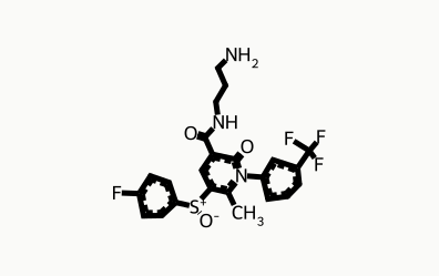 Cc1c([S+]([O-])c2ccc(F)cc2)cc(C(=O)NCCCN)c(=O)n1-c1cccc(C(F)(F)F)c1